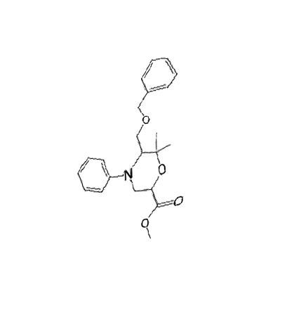 COC(=O)C1CN(c2ccccc2)C(COCc2ccccc2)C(C)(C)O1